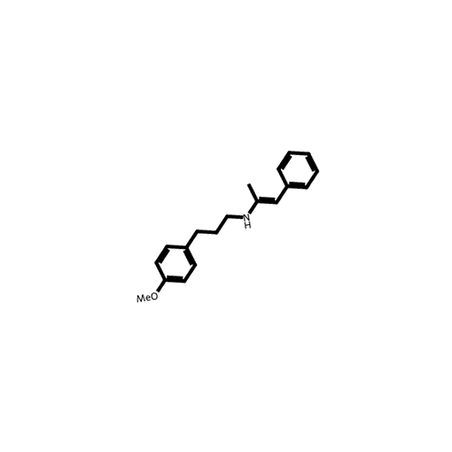 COc1ccc(CCCN/C(C)=C/c2ccccc2)cc1